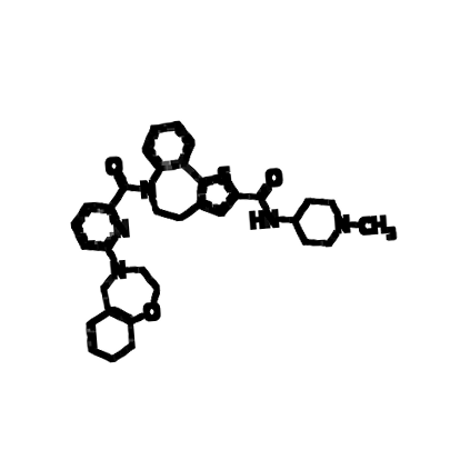 CN1CCC(NC(=O)c2cc3c(s2)-c2ccccc2N(C(=O)c2cccc(N4CCOC5=C(C=CCC5)C4)n2)CC3)CC1